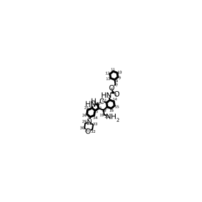 Cc1c(NC(=O)OCc2ccccc2)cccc1C(CN)c1c[nH]c2ccc(N3CCOCC3)cc12